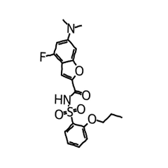 CCCOc1ccccc1S(=O)(=O)NC(=O)c1cc2c(F)cc(N(C)C)cc2o1